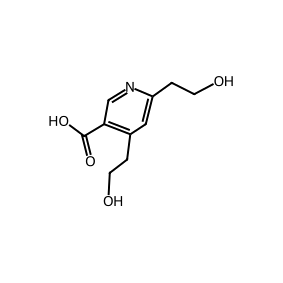 O=C(O)c1cnc(CCO)cc1CCO